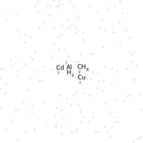 C.[AlH3].[Cd].[Cu]